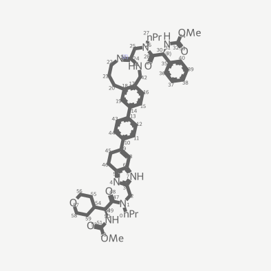 CCCN(Cc1nc2c([nH]1)C=C(c1ccc(-c3ccc4c(c3)CCC/N=C(/CN(CCC)C(=O)[C@H](NC(=O)OC)c3ccccc3)NC4)cc1)CC2)C(=O)[C@@H](NC(=O)OC)C1CCOCC1